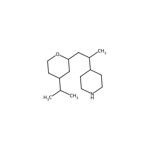 CC(C)C1CCOC(CC(C)C2CCNCC2)C1